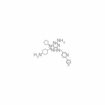 Nc1nc(NCc2ccc(-c3ccsc3)nc2)c2nc(C3CCC(N)CC3)n(C3CCCC3)c2n1